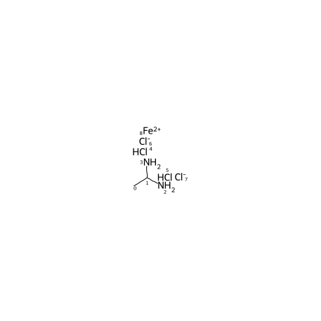 CC(N)N.Cl.Cl.[Cl-].[Cl-].[Fe+2]